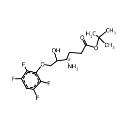 CC(C)(C)OC(=O)CC[C@H](N)C(O)COc1c(F)c(F)cc(F)c1F